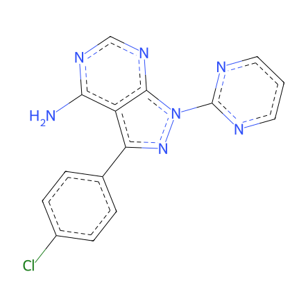 Nc1ncnc2c1c(-c1ccc(Cl)cc1)nn2-c1ncccn1